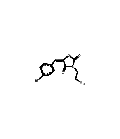 CCc1ccc(C=C2SC(=O)N(CCN)C2=O)cc1